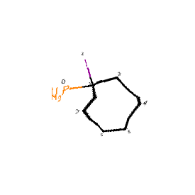 PC1(I)CCCCC1